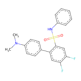 CN(C)c1ccc(-c2cc(F)c(F)cc2S(=O)(=O)Nc2ccccc2)cc1